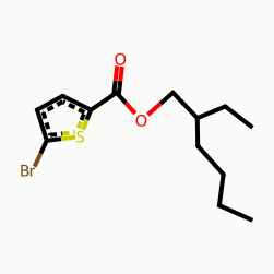 CCCCC(CC)COC(=O)c1ccc(Br)s1